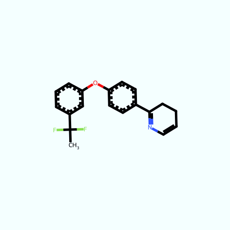 CC(F)(F)c1cccc(Oc2ccc(C3=NC=CCC3)cc2)c1